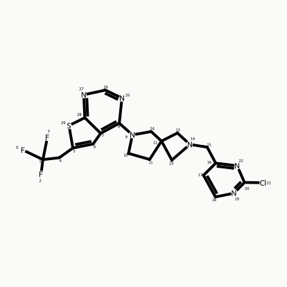 FC(F)(F)Cc1cc2c(N3CCC4(CN(Cc5ccnc(Cl)n5)C4)C3)ncnc2s1